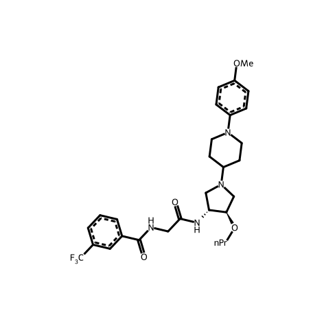 CCCO[C@@H]1CN(C2CCN(c3ccc(OC)cc3)CC2)C[C@H]1NC(=O)CNC(=O)c1cccc(C(F)(F)F)c1